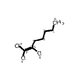 CCCCCC(Cl)=C(Cl)Cl